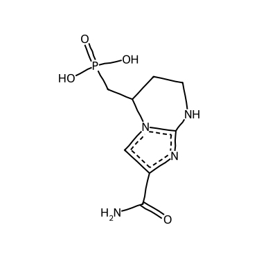 NC(=O)c1cn2c(n1)NCCC2CP(=O)(O)O